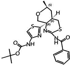 C[C@H]1C[C@H]2CSC(NC(=O)c3ccccc3)=N[C@@]2(c2nc(NC(=O)OC(C)(C)C)cs2)CO1